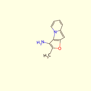 Cc1oc2cc3ccccn3c2c1N